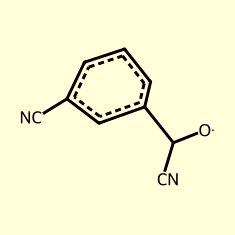 N#Cc1cccc(C([O])C#N)c1